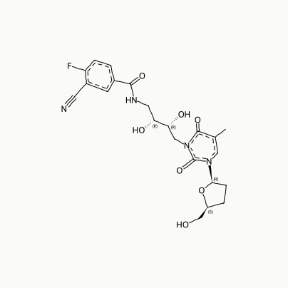 Cc1cn([C@H]2CC[C@@H](CO)O2)c(=O)n(C[C@@H](O)[C@H](O)CNC(=O)c2ccc(F)c(C#N)c2)c1=O